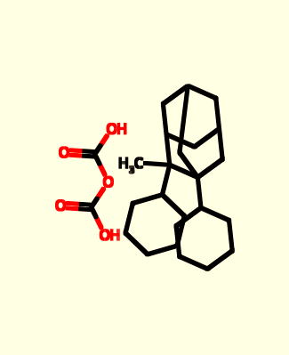 CC1(C2CCCCC2)C2CC3CC(C2)CC1(C1CCCCC1)C3.O=C(O)OC(=O)O